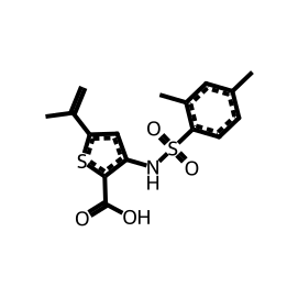 C=C(C)c1cc(NS(=O)(=O)c2ccc(C)cc2C)c(C(=O)O)s1